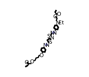 C=CC(=O)COCCCCOc1ccc(/N=N/c2cc3sc(/N=N/c4ccc(N(CC)CCOC(=O)C=C)cc4)nc3s2)cc1